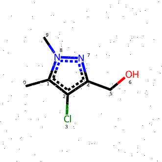 Cc1c(Cl)c(CO)nn1C